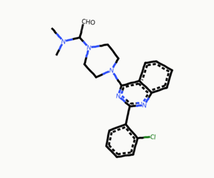 CN(C)C(C=O)N1CCN(c2nc(-c3ccccc3Cl)nc3ccccc23)CC1